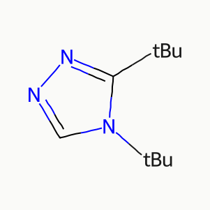 CC(C)(C)c1nncn1C(C)(C)C